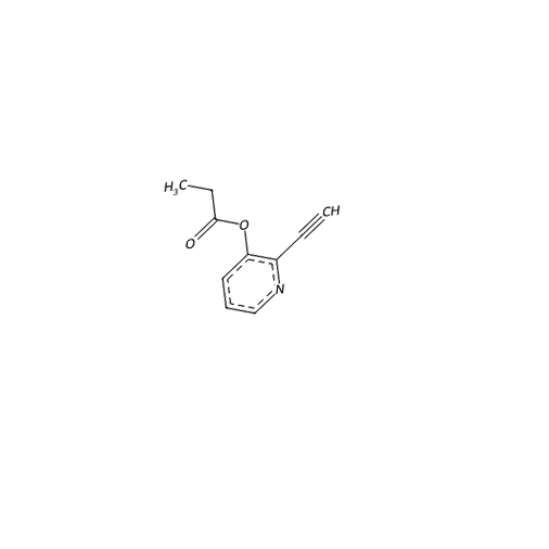 C#Cc1ncccc1OC(=O)CC